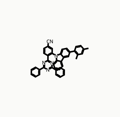 Cc1ccc(-c2ccc3c(c2)c2ccccc2n3-c2cc(C#N)ccc2-c2nc(-c3ccccc3)nc(-c3ccccc3)n2)c(C)c1